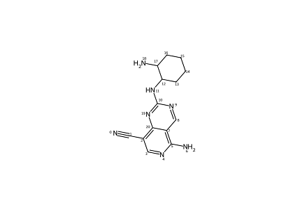 N#Cc1cnc(N)c2cnc(NC3CCCCC3N)nc12